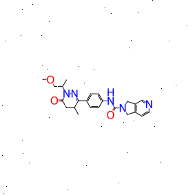 COCC(C)N1N=C(c2ccc(NC(=O)N3Cc4ccncc4C3)cc2)C(C)CC1=O